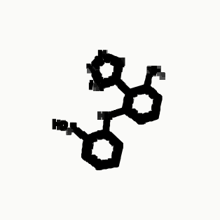 Nc1cccc(Nc2ccccc2S(=O)(=O)O)c1-c1nnn[nH]1